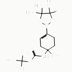 CC1(NC(=O)OC(C)(C)C)CC=C(B2OC(C)(C)C(C)(C)O2)CC1